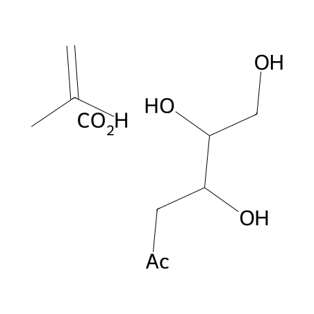 C=C(C)C(=O)O.CC(=O)CC(O)C(O)CO